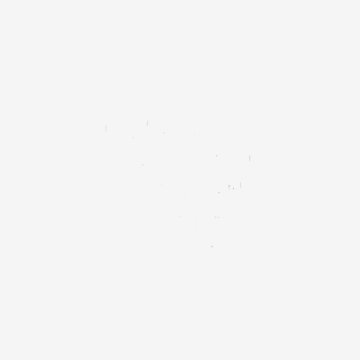 COC(=O)C1=C(C)NC2=C(C(=O)CC(C)(C)C2)C1c1ccc(C(C)(C)C)cc1